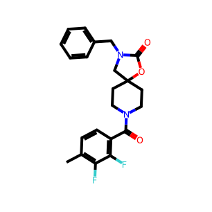 Cc1ccc(C(=O)N2CCC3(CC2)CN(Cc2ccccc2)C(=O)O3)c(F)c1F